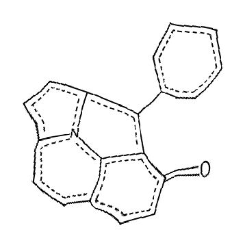 O=c1ccc2ccc3ccc4c(-c5ccccc5)c1c2n34